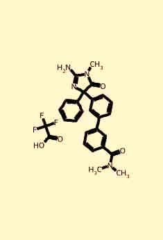 CN(C)C(=O)c1cccc(-c2cccc(C3(c4ccccc4)N=C(N)N(C)C3=O)c2)c1.O=C(O)C(F)(F)F